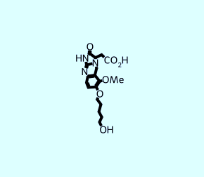 COc1c(OCCCCCO)ccc2c1CN1C(=N2)NC(=O)C1CC(=O)O